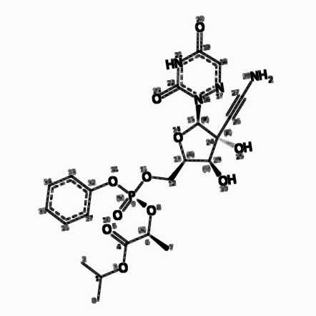 CC(C)OC(=O)[C@H](C)O[P@](=O)(OC[C@H]1O[C@@H](n2ncc(=O)[nH]c2=O)[C@@](O)(C#CN)[C@H]1O)Oc1ccccc1